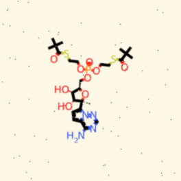 CC(C)(C)C(=O)SCCOP(=O)(OCCSC(=O)C(C)(C)C)OC[C@H]1O[C@@](C)(c2ccc3c(N)ncnn23)[C@H](O)[C@@H]1O